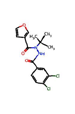 CC(C)(C)N(NC(=O)c1ccc(Cl)c(Cl)c1)C(=O)c1ccoc1